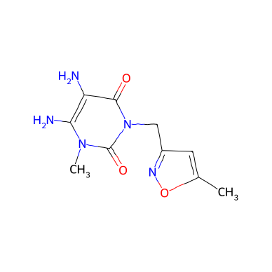 Cc1cc(Cn2c(=O)c(N)c(N)n(C)c2=O)no1